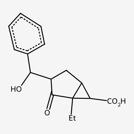 CCC12C(=O)C(C(O)c3ccccc3)CC1C2C(=O)O